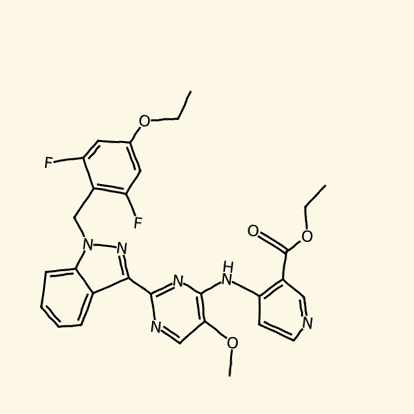 CCOC(=O)c1cnccc1Nc1nc(-c2nn(Cc3c(F)cc(OCC)cc3F)c3ccccc23)ncc1OC